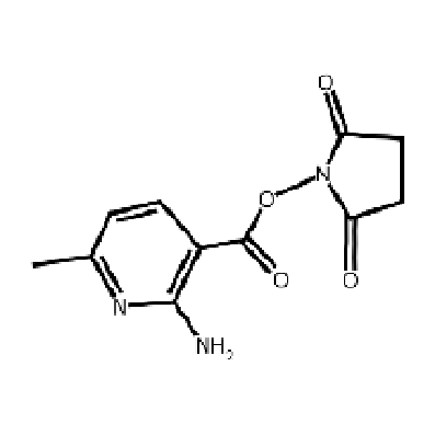 Cc1ccc(C(=O)ON2C(=O)CCC2=O)c(N)n1